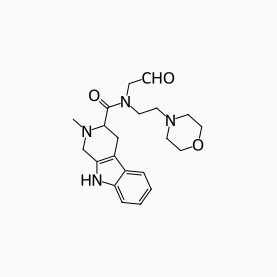 CN1Cc2[nH]c3ccccc3c2CC1C(=O)N(CC=O)CCN1CCOCC1